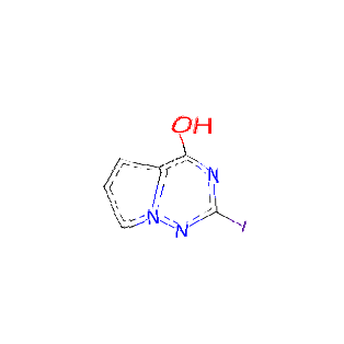 Oc1nc(I)nn2cccc12